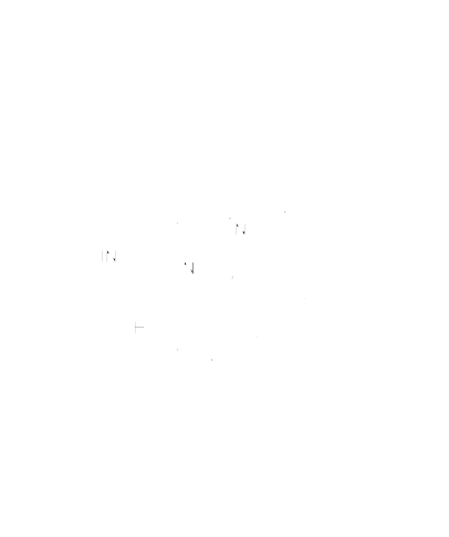 Cc1cc2c(nc1C)N1CCNC[C@@H]1CCO2